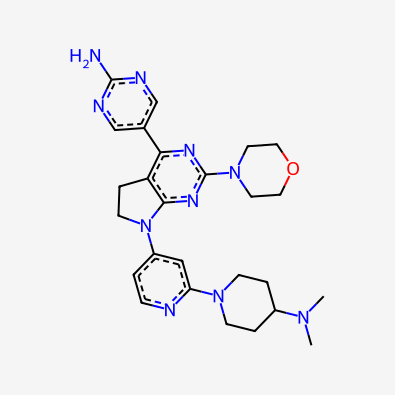 CN(C)C1CCN(c2cc(N3CCc4c(-c5cnc(N)nc5)nc(N5CCOCC5)nc43)ccn2)CC1